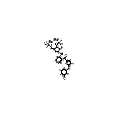 CC(C)(C)[Si](C)(C)OCC1C[C@@H](Nc2ncncc2C(=O)c2ccc(Cc3cccc(Cl)c3)s2)[C@@H](F)C1O[Si](C)(C)C(C)(C)C